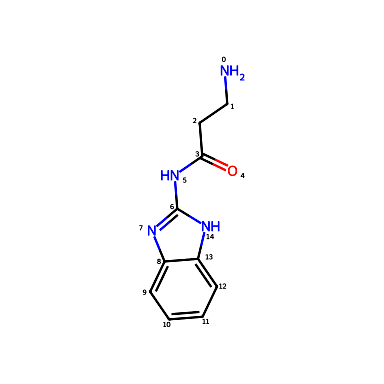 NCCC(=O)Nc1nc2ccccc2[nH]1